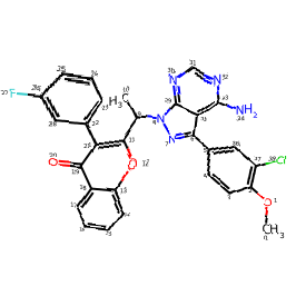 COc1ccc(-c2nn(C(C)c3oc4ccccc4c(=O)c3-c3cccc(F)c3)c3ncnc(N)c23)cc1Cl